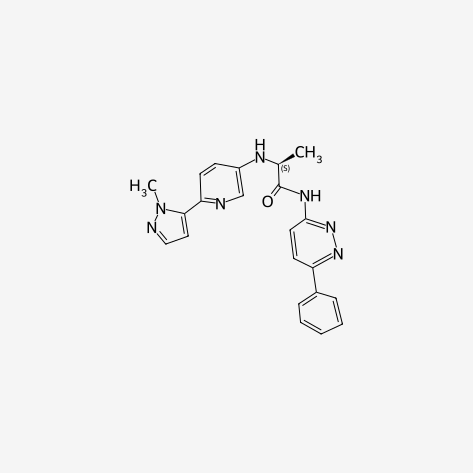 C[C@H](Nc1ccc(-c2ccnn2C)nc1)C(=O)Nc1ccc(-c2ccccc2)nn1